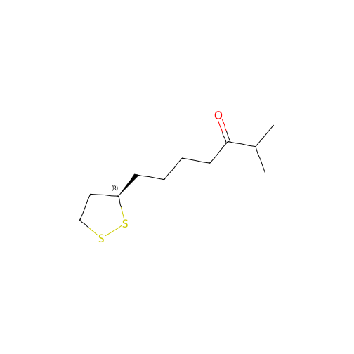 CC(C)C(=O)CCCC[C@@H]1CCSS1